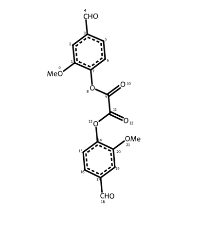 COc1cc(C=O)ccc1OC(=O)C(=O)Oc1ccc(C=O)cc1OC